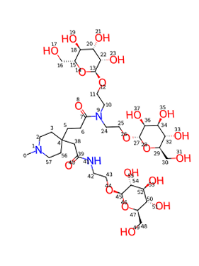 CN1CCC(CCC(=O)N(CCO[C@H]2O[C@H](CO)[C@@H](O)[C@H](O)[C@@H]2O)CCO[C@H]2O[C@H](CO)[C@@H](O)[C@H](O)[C@@H]2O)(CC(=O)NCCO[C@@H]2O[C@H](CO)[C@@H](O)[C@H](O)[C@H]2O)CC1